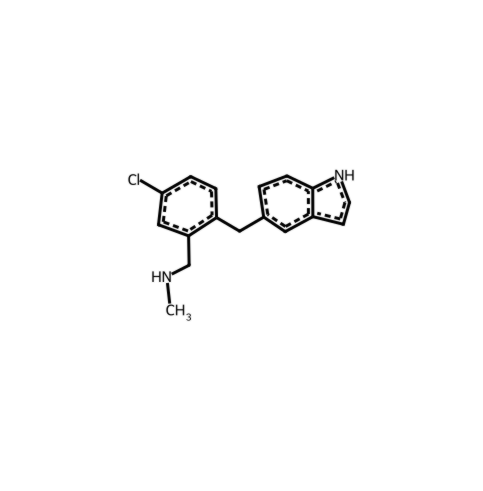 CNCc1cc(Cl)ccc1Cc1ccc2[nH]ccc2c1